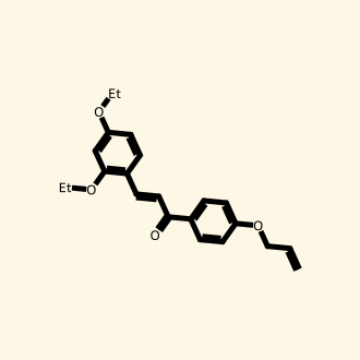 C=CCOc1ccc(C(=O)/C=C/c2ccc(OCC)cc2OCC)cc1